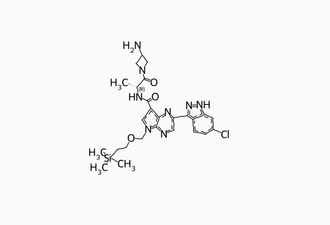 C[C@@H](NC(=O)c1cn(COCC[Si](C)(C)C)c2ncc(-c3n[nH]c4cc(Cl)ccc34)nc12)C(=O)N1CC(N)C1